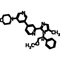 COC[C@H](c1ccccc1)n1c(C)cnc1-c1cc(-c2cncc(N3CCOCC3)c2)ccn1